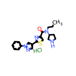 CCCN(C(=O)c1csc(-c2cnn(-c3ccccc3)c2)n1)[C@H]1CCNC1.Cl